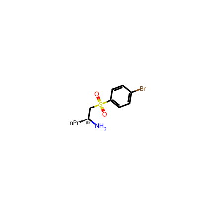 CCC[C@H](N)CS(=O)(=O)c1ccc(Br)cc1